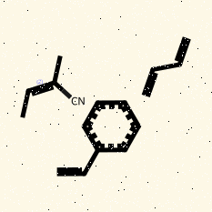 C/C=C(/C)C#N.C=CC=C.C=Cc1ccccc1